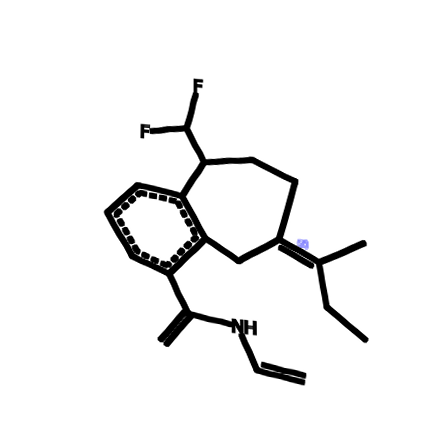 C=CNC(=C)c1cccc2c1C/C(=C(/C)CC)CCC2C(F)F